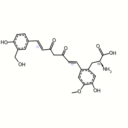 COc1cc(/C=C/C(=O)CC(=O)/C=C/c2ccc(O)c(CO)c2)c(C[C@H](N)C(=O)O)cc1O